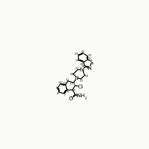 NC(=O)C(CCl)c1ccccc1CCN1CCN(c2nsc3ccccc23)CC1